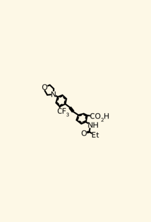 CCC(=O)Nc1ccc(C#Cc2ccc(N3CCOCC3)cc2C(F)(F)F)cc1C(=O)O